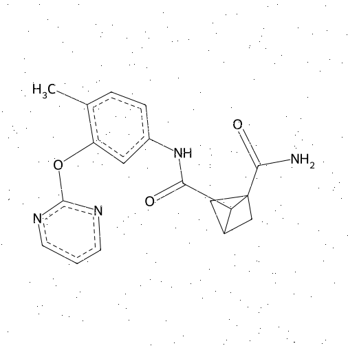 Cc1ccc(NC(=O)C2C3CC2(C(N)=O)C3)cc1Oc1ncccn1